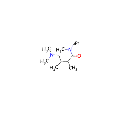 CC(CN(C)C)C(C)C(=O)N(C)C(C)C